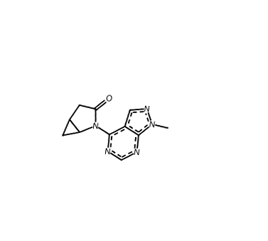 Cn1ncc2c(N3C(=O)CC4CC43)ncnc21